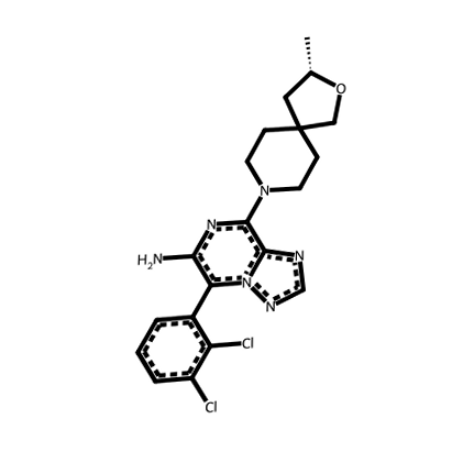 C[C@H]1CC2(CCN(c3nc(N)c(-c4cccc(Cl)c4Cl)n4ncnc34)CC2)CO1